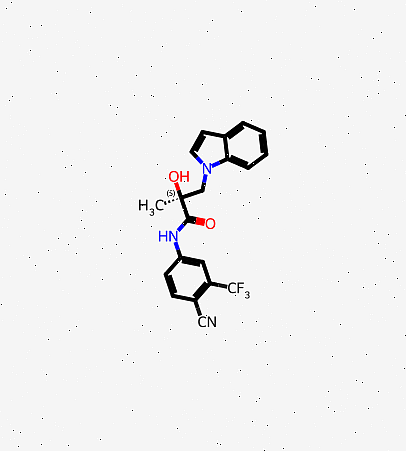 C[C@](O)(Cn1ccc2ccccc21)C(=O)Nc1ccc(C#N)c(C(F)(F)F)c1